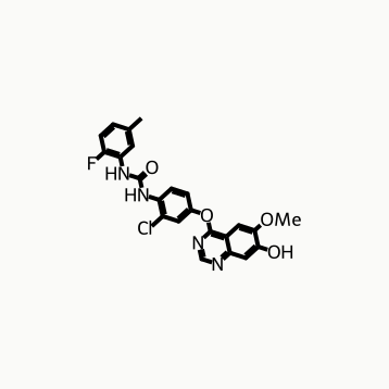 COc1cc2c(Oc3ccc(NC(=O)Nc4cc(C)ccc4F)c(Cl)c3)ncnc2cc1O